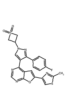 Cc1nc(-c2cc3c(-c4cn(C5CS(=O)(=O)C5)nc4-c4ccc(F)cc4)ncnc3o2)cs1